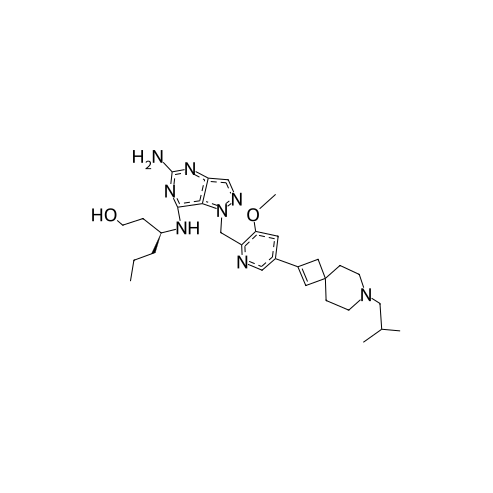 CCC[C@@H](CCO)Nc1nc(N)nc2cnn(Cc3ncc(C4=CC5(CCN(CC(C)C)CC5)C4)cc3OC)c12